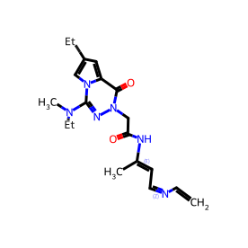 C=C/N=C\C=C(/C)NC(=O)Cn1nc(N(C)CC)n2cc(CC)cc2c1=O